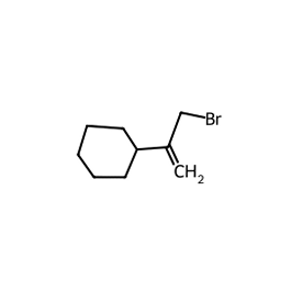 C=C(CBr)C1CCCCC1